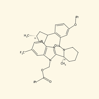 CC(C)Oc1ccc(C2CC[C@H](C)C2)c(C(=O)N2CCCC[C@@]2(C)c2nc3ncc(C(F)(F)F)cc3n2COC(=O)C(C)C)c1